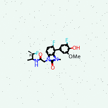 COc1cc(-c2c(F)ccc3c2n(C)c(=O)n3CC(=O)NC(C)[C@@H](C)F)cc(F)c1O